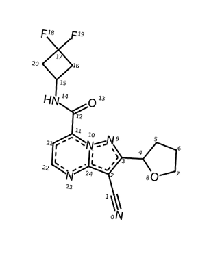 N#Cc1c(C2CCCO2)nn2c(C(=O)NC3CC(F)(F)C3)ccnc12